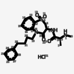 CN[C@@H](C)C(=O)NC1CS(=O)(=O)c2ccccc2N(CCCCc2ccccc2)C1=O.Cl